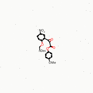 CCCCCCCCCCCOc1ccc([N+](=O)[O-])cc1C1OC1C(=O)Oc1ccc(OC)cc1